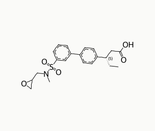 CC[C@@H](CC(=O)O)c1ccc(-c2cccc(S(=O)(=O)N(C)CC3CO3)c2)cc1